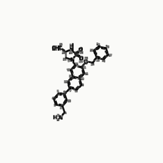 NCc1cccc(-c2ccc3cc(OCc4ccccc4)c(N4CC(C=O)NS4(=O)=O)cc3c2)c1